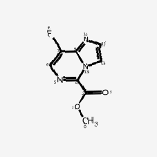 COC(=O)c1ncc(F)c2nccn12